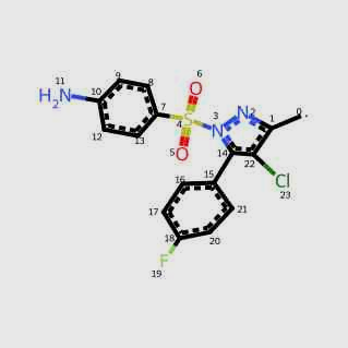 [CH2]c1nn(S(=O)(=O)c2ccc(N)cc2)c(-c2ccc(F)cc2)c1Cl